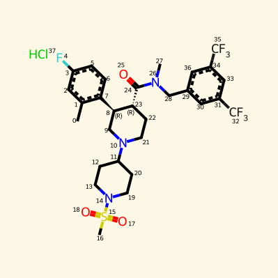 Cc1cc(F)ccc1[C@@H]1CN(C2CCN(S(C)(=O)=O)CC2)CC[C@H]1C(=O)N(C)Cc1cc(C(F)(F)F)cc(C(F)(F)F)c1.Cl